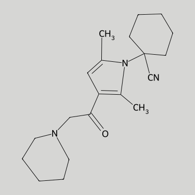 Cc1cc(C(=O)CN2CCCCC2)c(C)n1C1(C#N)CCCCC1